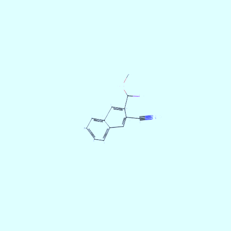 COC(I)c1cc2ccccc2cc1C#N